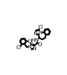 O=C(NC1CCc2ccccc2-n2c(Cl)cnc21)c1ncn(Cc2c(Cl)cccc2Cl)n1